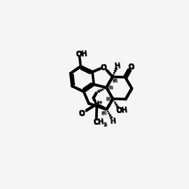 C[N+]1([O-])CC[C@]23c4c5ccc(O)c4O[C@H]2C(=O)CC[C@@]3(O)[C@H]1C5